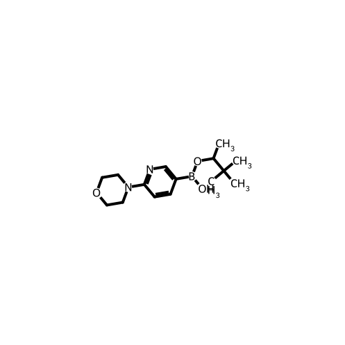 CC(OB(O)c1ccc(N2CCOCC2)nc1)C(C)(C)C